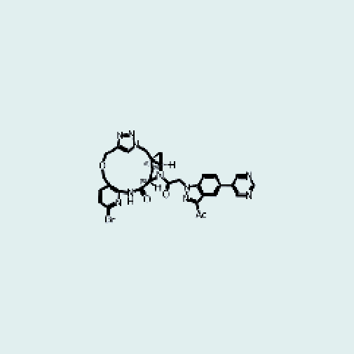 CC(=O)c1nn(CC(=O)N2[C@H]3C[C@]4(C[C@@H]24)Cn2cc(nn2)COCc2ccc(Br)nc2NC3=O)c2ccc(-c3cncnc3)cc12